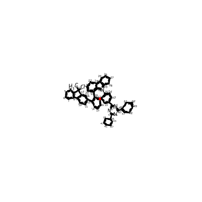 CC1(C)c2ccccc2-c2ccc(-c3ccccc3-c3cccc4c5ccccc5n(-c5ccc(-c6nc(-c7ccccc7)nc(-c7ccccc7)n6)cc5)c34)cc21